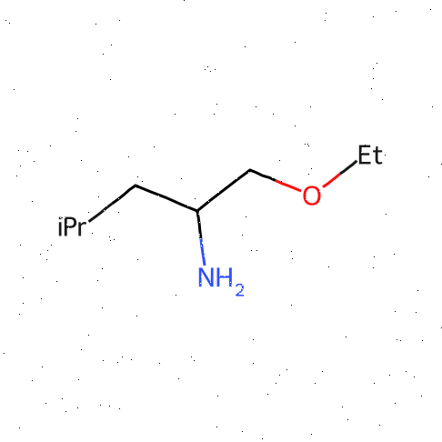 CCOCC(N)CC(C)C